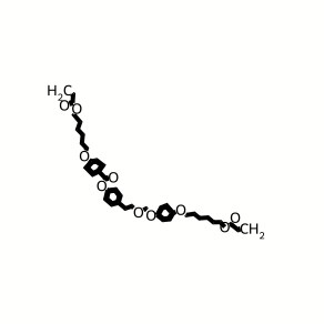 C=CC(=O)OCCCCCCOc1ccc(OCOCCc2ccc(OC(=O)c3ccc(OCCCCCCOC(=O)C=C)cc3)cc2)cc1